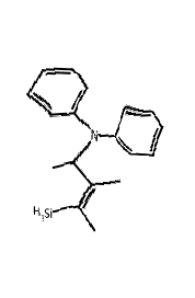 CC([SiH3])=C(C)C(C)N(c1ccccc1)c1ccccc1